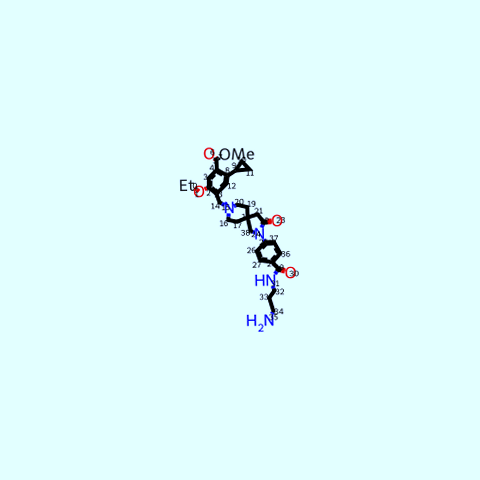 CCOc1cc(C(=O)OC)c(C2CC2)cc1CN1CCC2(CC1)CC(=O)N(c1ccc(C(=O)NCCCN)cc1)C2